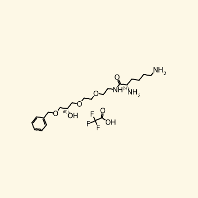 NCCCC[C@H](N)C(=O)NCCOCCOC[C@H](O)COCc1ccccc1.O=C(O)C(F)(F)F